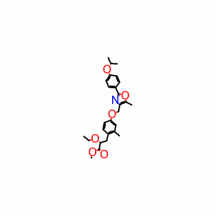 CCOC(Cc1ccc(OCc2nc(-c3ccc(OC(C)C)cc3)oc2C)cc1C)C(=O)OC